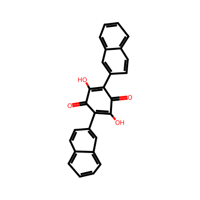 O=C1C(O)=C(c2ccc3ccccc3c2)C(=O)C(O)=C1c1ccc2ccccc2c1